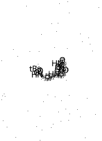 CC(C)(C)OC(=O)NCCc1ccc(CCCNc2cccc3c2C(=O)N(C2CCC(=O)NC2=O)C3=O)cc1